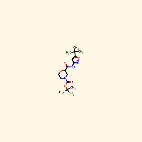 CC(C)(C)OC(=O)N1CCOC(C(=O)Nc2cc(C(C)(C)C)on2)C1